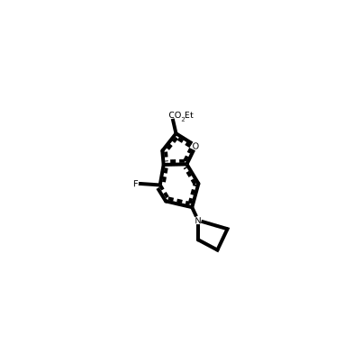 CCOC(=O)c1cc2c(F)cc(N3CCC3)cc2o1